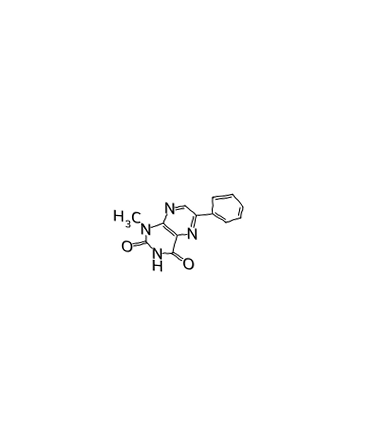 Cn1c(=O)[nH]c(=O)c2nc(-c3ccccc3)cnc21